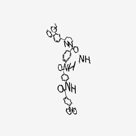 CCOc1cc(C2=NN(C(=O)c3cccc(NC(=O)c4ccc(NC(=O)c5ccc([N+](=O)[O-])cc5)cc4)c3)CCC2)ccc1OC.CNC